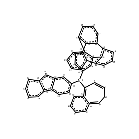 C1=CC(N(c2ccc3c(c2)-c2c4cccc2-c2cccc-3c2-c2ccccc2-4)c2ccc3c(c2)sc2ccccc23)=c2ccccc2=CC1